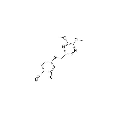 COc1ncc(CSc2ccc(C#N)c(Cl)c2)nc1OC